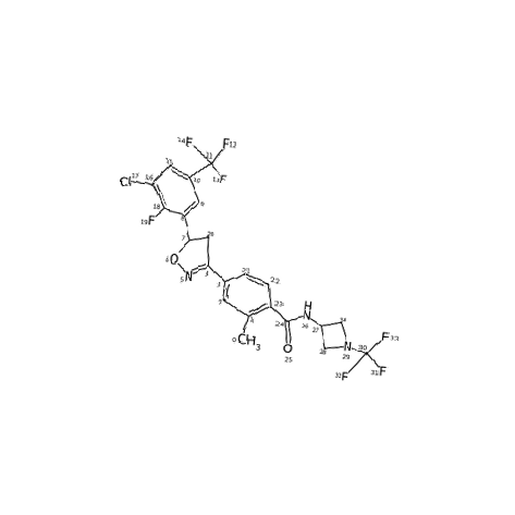 Cc1cc(C2=NOC(c3cc(C(F)(F)F)cc(Cl)c3F)C2)ccc1C(=O)NC1CN(C(F)(F)F)C1